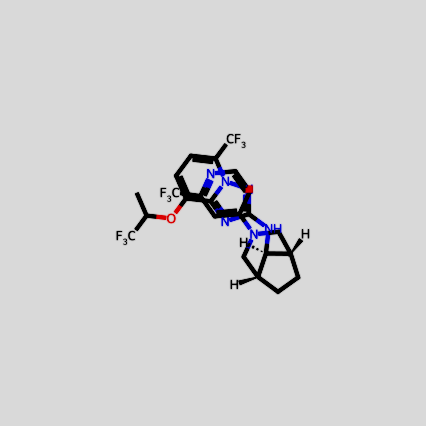 CC(Oc1ccc(C(F)(F)F)n2nc(N[C@@H]3[C@@H]4CC[C@H]3CN(c3ccnc(C(F)(F)F)c3)C4)nc12)C(F)(F)F